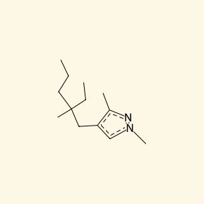 CCCC(C)(CC)Cc1cn(C)nc1C